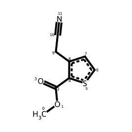 COC(=O)c1sccc1CC#N